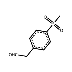 CS(=O)(=O)c1ccc(CC=O)cc1